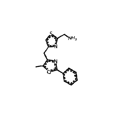 Cc1oc(-c2ccccc2)nc1Cc1csc(CN)n1